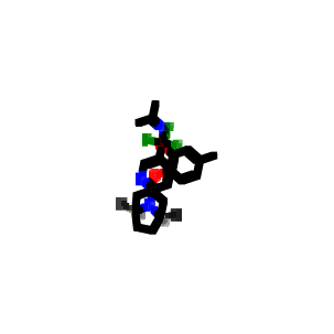 CC(C)=NOc1cc(C)ccc1O[C@H]1C[C@H]2CC[C@@H](C1)N2c1ccc(C(F)(F)F)cn1